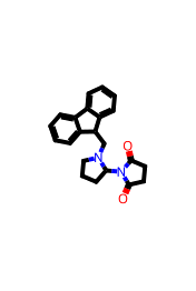 O=C1CCC(=O)N1C1CCCN1CC1c2ccccc2-c2ccccc21